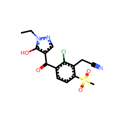 CCn1ncc(C(=O)c2ccc(S(C)(=O)=O)c(CC#N)c2Cl)c1O